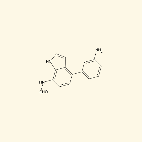 Nc1cccc(-c2ccc(NC=O)c3[nH]ccc23)c1